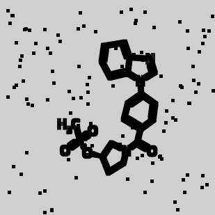 CS(=O)(=O)O[C@@H]1CCN(C(=O)c2ccc(-n3cnc4ccccc43)cc2)C1